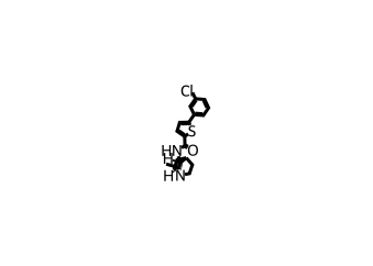 C[C@H]1[C@H](NC(=O)c2ccc(-c3cccc(Cl)c3)s2)C2CCN1CC2